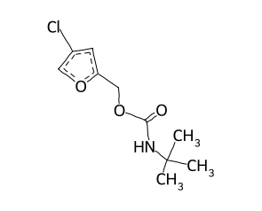 CC(C)(C)NC(=O)OCc1cc(Cl)co1